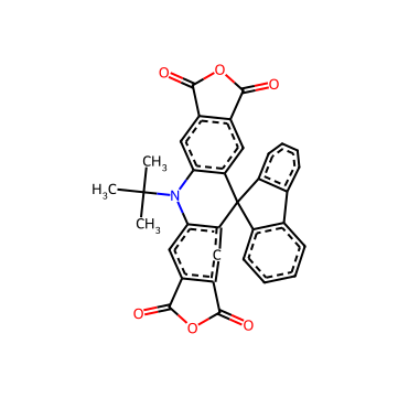 CC(C)(C)N1c2cc3c(cc2C2(c4ccccc4-c4ccccc42)c2cc4c(cc21)C(=O)OC4=O)C(=O)OC3=O